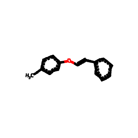 Cc1ccc(OC=Cc2ccccc2)cc1